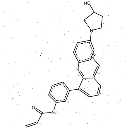 C=CC(=O)Nc1cccc(C2=CC=CC(=C/N=C)/C2=N\c2ccc(N3CCC(O)C3)cc2)c1